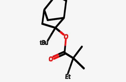 CCC(C)(C)C(=O)OC1(C(C)(C)C)CC2CCC1C2